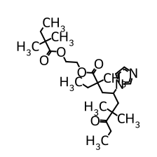 CCC(=O)C(C)(C)CC(CC(C)(CC)C(=O)OCCOC(=O)C(C)(C)CC)n1ccnc1